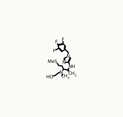 C=C(Nc1cn(Cc2cc(F)c(F)c(F)c2)cn1)C(CCSC)N(C)CCO